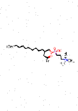 CCCCCCCCCCCCCCCCCCCC(COP(=O)(O)CCC[N+](C)(C)C)CC(=O)CC